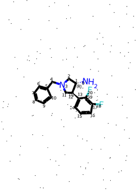 N[C@H]1CN(Cc2ccccc2)C[C@@H]1c1cccc(F)c1F